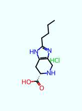 CCCCc1nc2c([nH]1)C[C@@H](C(=O)O)NC2.Cl